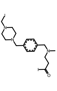 CN(CCC(=O)I)Cc1ccc(CN2CCN(CI)CC2)cc1